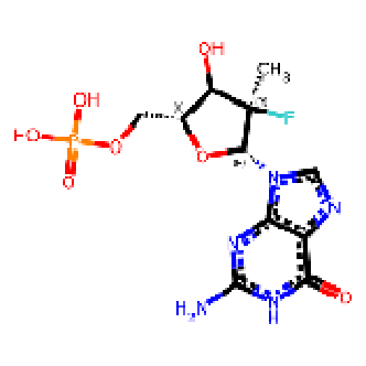 C[C@@]1(F)C(O)[C@@H](COP(=O)(O)O)O[C@H]1n1cnc2c(=O)[nH]c(N)nc21